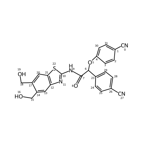 N#Cc1ccc(OC(C(=O)Nc2nc3cc(CO)c(CO)cc3s2)c2ccc(C#N)cc2)cc1